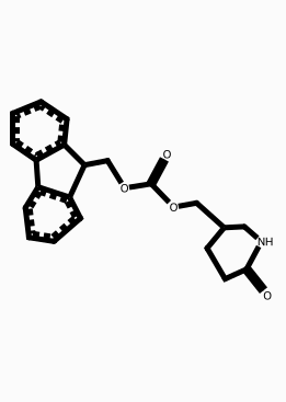 O=C1CCC(COC(=O)OCC2c3ccccc3-c3ccccc32)CN1